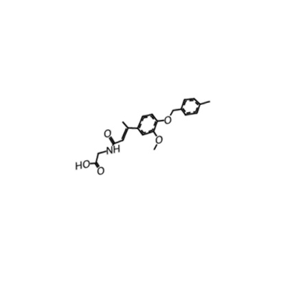 COc1cc(C(C)=CC(=O)NCC(=O)O)ccc1OCc1ccc(C)cc1